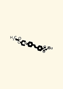 C=CC(=O)OC1CCN(c2ccc(C=Cc3ccc(S(=O)(=O)C[C@H](C)CC)cc3)cc2)CC1